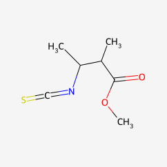 COC(=O)C(C)C(C)N=C=S